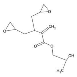 C=C(C(=O)OCC(C)O)C(CC1CO1)CC1CO1